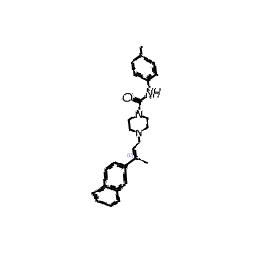 C/C(=C\CN1CCN(C(=O)Nc2ccc(C)cc2)CC1)c1ccc2ccccc2c1